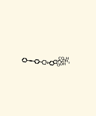 C[C@@H](O)[C@@H](C(=O)O)N1Cc2cc(N3CCC(c4ccc(C#Cc5ccccc5)cc4)CC3)ccc2C1=O